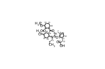 CCCN1C(=O)[C@@H](Cc2ncc(CC(=O)O)s2)O[C@H](c2cccc(OC)c2OC)c2cc(Cl)ccc21